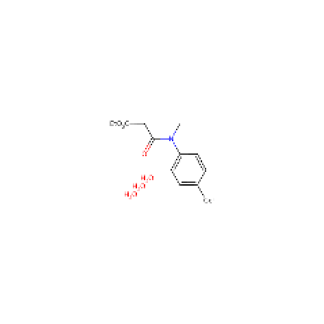 CCOC(=O)CC(=O)N(C)c1cc[c]([Ge])cc1.O.O.O